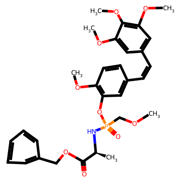 COCP(=O)(N[C@@H](C)C(=O)OCc1ccccc1)Oc1cc(/C=C\c2cc(OC)c(OC)c(OC)c2)ccc1OC